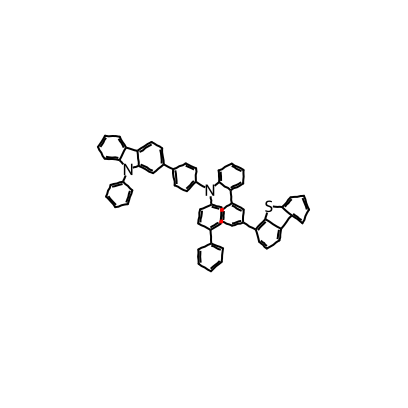 c1ccc(-c2ccc(N(c3ccc(-c4ccc5c6ccccc6n(-c6ccccc6)c5c4)cc3)c3ccccc3-c3cccc(-c4cccc5c4sc4ccccc45)c3)cc2)cc1